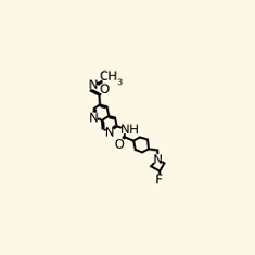 Cc1ncc(-c2cnc3cnc(NC(=O)C4CCC(CN5CC(F)C5)CC4)cc3c2)o1